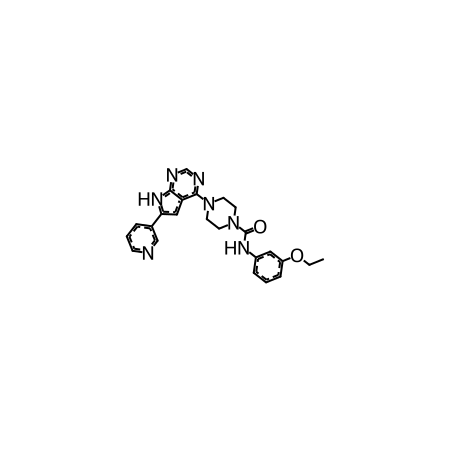 CCOc1cccc(NC(=O)N2CCN(c3ncnc4[nH]c(-c5cccnc5)cc34)CC2)c1